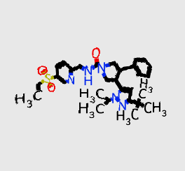 CCS(=O)(=O)c1ccc(CNC(=O)N2CC(c3ccccc3)C(c3cc(C(C)(C)C)nn3C(C)C)C2)nc1